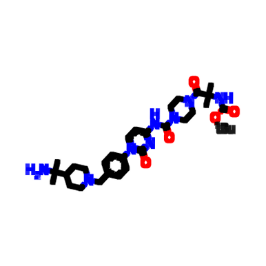 CC(C)(C)OC(=O)NC(C)(C)C(=O)N1CCN(C(=O)Nc2ccn(-c3ccc(CN4CCC(C(C)(C)N)CC4)cc3)c(=O)n2)CC1